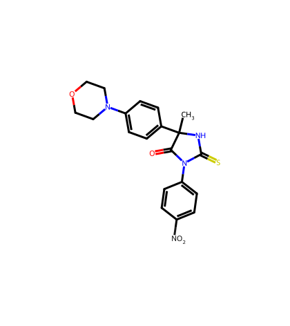 CC1(c2ccc(N3CCOCC3)cc2)NC(=S)N(c2ccc([N+](=O)[O-])cc2)C1=O